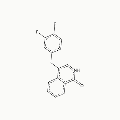 O=c1[nH]cc(Cc2ccc(F)c(F)c2)c2ccccc12